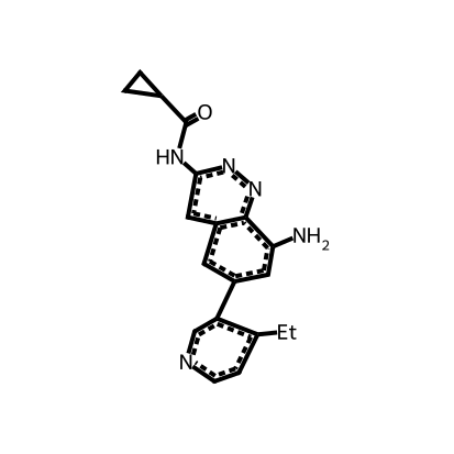 CCc1ccncc1-c1cc(N)c2nnc(NC(=O)C3CC3)cc2c1